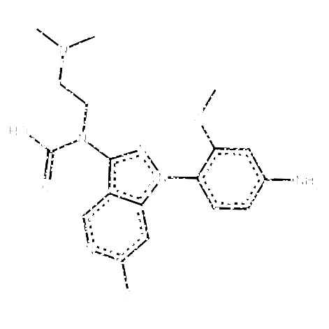 COc1cc(N)ccc1-n1nc(N(CCN(C)C)C(=O)O)c2cnc(Cl)cc21